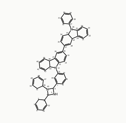 C1=CCC(C2NC(c3cccc(N4c5ccc(C6=CC7c8ccccc8N(c8ccccc8)C7C=C6)cc5C5C=CC=CC54)c3)N2C2C=CC=CC2)C=C1